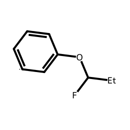 CCC(F)Oc1c[c]ccc1